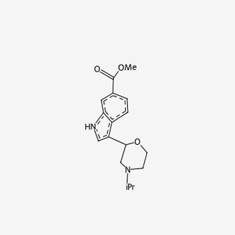 COC(=O)c1ccc2c(C3CN(C(C)C)CCO3)c[nH]c2c1